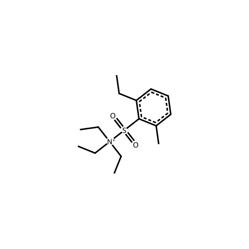 CCc1cccc(C)c1S(=O)(=O)[N+](CC)(CC)CC